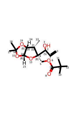 C=C[C@H](O)[C@@]1(COC(=O)C(C)(C)C)O[C@@H]2OC(C)(C)O[C@@H]2[C@@H]1C